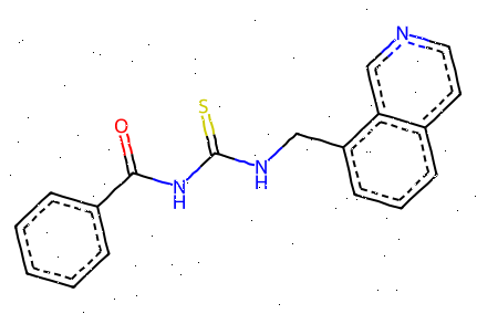 O=C(NC(=S)NCc1cccc2ccncc12)c1ccccc1